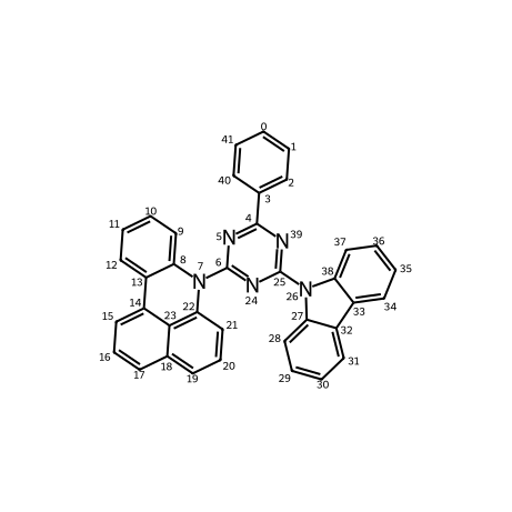 c1ccc(-c2nc(N3c4ccccc4-c4cccc5cccc3c45)nc(-n3c4ccccc4c4ccccc43)n2)cc1